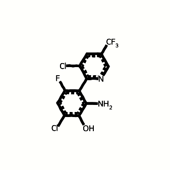 Nc1c(O)c(Cl)cc(F)c1-c1ncc(C(F)(F)F)cc1Cl